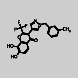 Cc1cccc(Cn2cc(-c3c(C(F)(F)F)oc4c(O)c(O)ccc4c3=O)cn2)c1